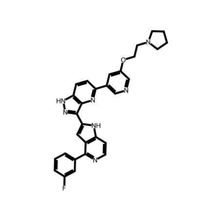 Fc1cccc(-c2nccc3[nH]c(-c4n[nH]c5ccc(-c6cncc(OCCN7CCCC7)c6)nc45)cc23)c1